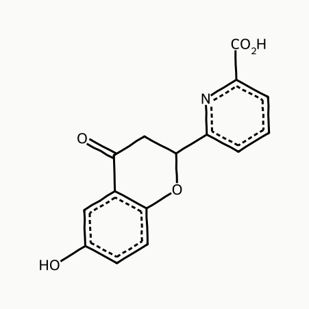 O=C(O)c1cccc(C2CC(=O)c3cc(O)ccc3O2)n1